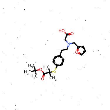 CC(C)(C)OC(=O)C(C)(C)Sc1ccc(CCN(CC(=O)O)Cc2ccco2)cc1